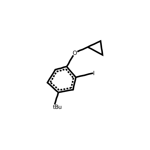 CC(C)(C)c1ccc(OC2CC2)c(I)c1